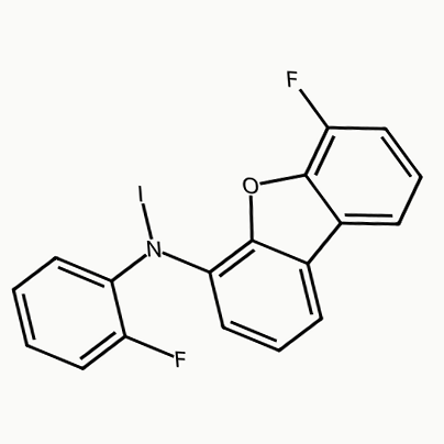 Fc1ccccc1N(I)c1cccc2c1oc1c(F)cccc12